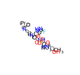 Cc1nc2[nH]cc(F)c2cc1Oc1cc(N2CCC3(CC2)CC(N2CCC[C@@H]2c2ccccc2C(C)C)C3)ccc1C(=O)NS(=O)(=O)c1cc2c(c([N+](=O)[O-])c1)N[C@@H](C1CCC(C)(O)CC1)CO2